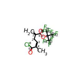 C=C(CC=C(C)C(=O)Cl)C(=O)OC(C(F)(F)F)(C(F)(F)F)C(F)(F)F